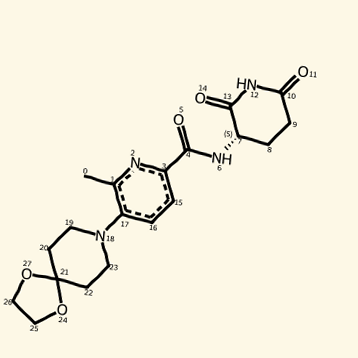 Cc1nc(C(=O)N[C@H]2CCC(=O)NC2=O)ccc1N1CCC2(CC1)OCCO2